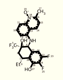 CC[C@@H]1C[C@](O)(C(F)(F)F)[C@@H](Nc2cccc3c2ccc(C)[n+]3[O-])c2cc(F)c(F)c(O)c21